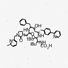 CCC(C)[C@H](NC(=O)O)C(=O)N[C@@H](Cc1ccc(-c2ccccn2)cc1)C[C@H](O)[C@H](Cc1ccccc1)NC(=O)[C@@H](N1CCN(Cc2cccc(C)n2)C1=O)C(C)(C)C